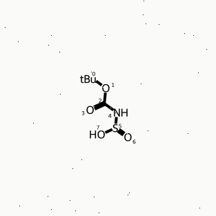 CC(C)(C)OC(=O)NS(=O)O